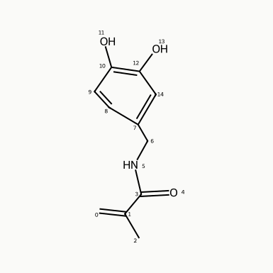 C=C(C)C(=O)NCc1ccc(O)c(O)c1